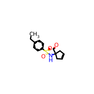 CCc1ccc(S(=O)(=O)NC2(C=O)CC=CC2)cc1